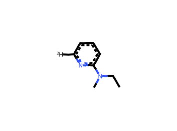 [2H]c1cccc(N(C)CC)n1